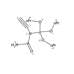 C#CN(C(N)=O)C(OCCC)(OCCC)OCCC